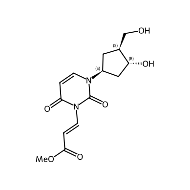 COC(=O)C=Cn1c(=O)ccn([C@H]2C[C@@H](CO)[C@H](O)C2)c1=O